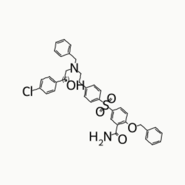 NC(=O)c1cc(S(=O)(=O)c2ccc(CCN(Cc3ccccc3)C[C@@H](O)c3ccc(Cl)cc3)cc2)ccc1OCc1ccccc1